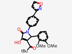 COc1cccc(C2C(C(=O)C(C)(C)C)=C(O)C(=O)N2c2ccc(-c3ccon3)cc2)c1OC